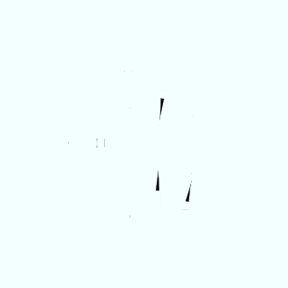 O=C1[C@@H]2[C@H](C(=O)C3O[C@H]13)C1C=C[C@H]2C1